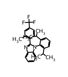 Cc1cc(C(F)(F)F)ccc1-c1nc2ccccc2n1-c1c(C(C)C)cccc1C(C)C